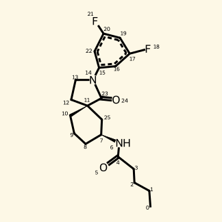 CCCCC(=O)N[C@H]1CCC[C@]2(CCN(c3cc(F)cc(F)c3)C2=O)C1